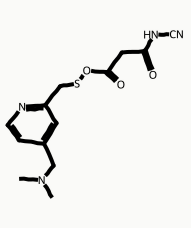 CN(C)Cc1ccnc(CSOC(=O)CC(=O)NC#N)c1